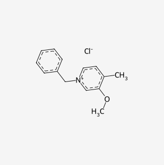 COc1c[n+](Cc2ccccc2)ccc1C.[Cl-]